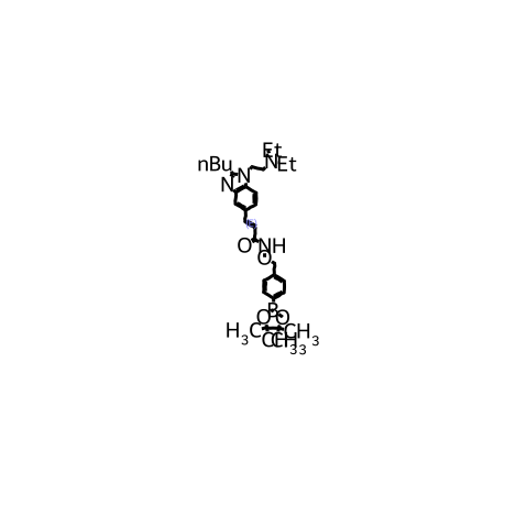 CCCCc1nc2cc(/C=C/C(=O)NOCc3ccc(B4OC(C)(C)C(C)(C)O4)cc3)ccc2n1CCN(CC)CC